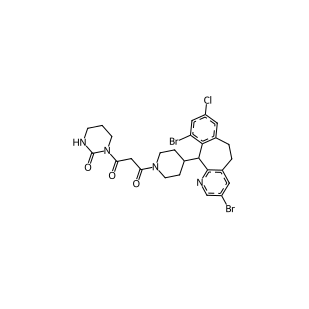 O=C(CC(=O)N1CCCNC1=O)N1CCC(C2c3ncc(Br)cc3CCc3cc(Cl)cc(Br)c32)CC1